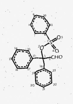 O=CC(OS(=O)(=O)c1ccccc1)(c1ccccc1)c1ccccc1